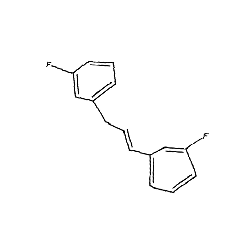 Fc1cccc(C=CCc2cccc(F)c2)c1